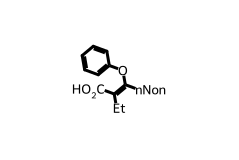 CCCCCCCCCC(Oc1ccccc1)=C(CC)C(=O)O